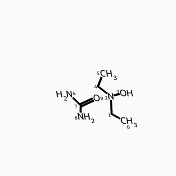 CCN(O)CC.NC(N)=O